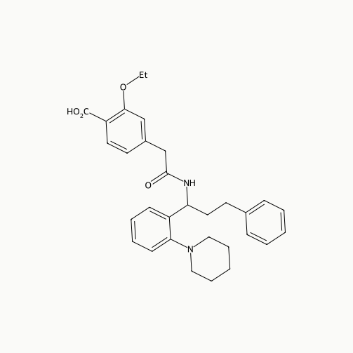 CCOc1cc(CC(=O)NC(CCc2ccccc2)c2ccccc2N2CCCCC2)ccc1C(=O)O